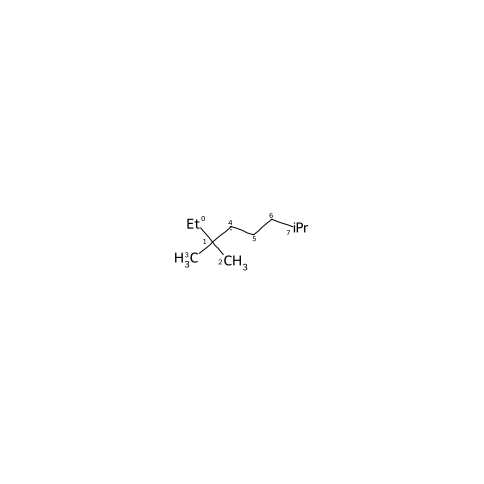 CCC(C)(C)[CH]CCC(C)C